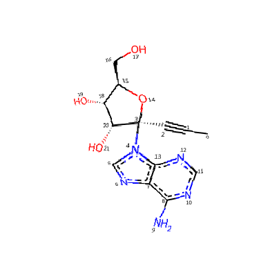 CC#C[C@@]1(n2cnc3c(N)ncnc32)O[C@H](CO)[C@@H](O)[C@H]1O